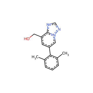 Cc1cccc(C)c1-c1cc(CO)c2ncnn2c1